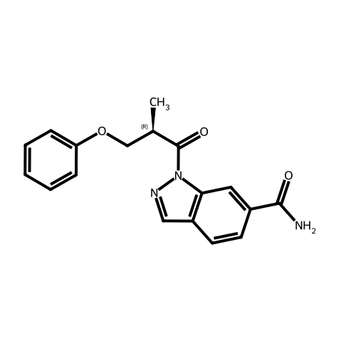 C[C@H](COc1ccccc1)C(=O)n1ncc2ccc(C(N)=O)cc21